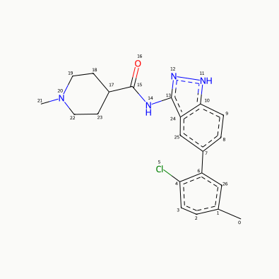 Cc1ccc(Cl)c(-c2ccc3[nH]nc(NC(=O)C4CCN(C)CC4)c3c2)c1